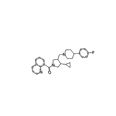 O=C(c1cccc2cccnc12)N1CC(CN2CCC(c3ccc(F)cc3)CC2)C(C2CC2)C1